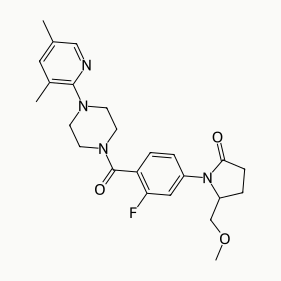 COCC1CCC(=O)N1c1ccc(C(=O)N2CCN(c3ncc(C)cc3C)CC2)c(F)c1